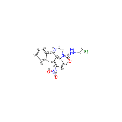 O=C(NCCCl)N1CCN=C(c2ccccc2)c2cc([N+](=O)[O-])ccc21